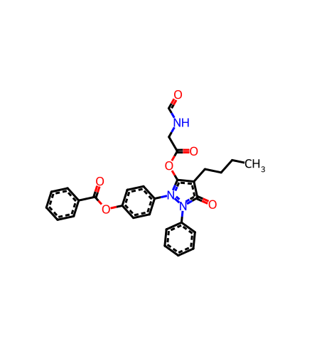 CCCCc1c(OC(=O)CNC=O)n(-c2ccc(OC(=O)c3ccccc3)cc2)n(-c2ccccc2)c1=O